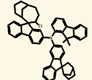 CCC1CCC2CCCC(C2)C12c1ccccc1-c1ccc(N(c3ccc4c(c3)-c3ccccc3C43CC4CCC3C4)c3cccc4c3C(C)(C)c3ccccc3-4)cc12